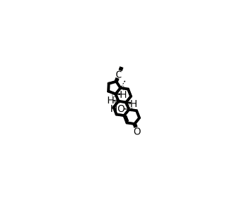 C=C=C1CC[C@H]2[C@@H]3CCC4=CC(=O)CC[C@]4(O)[C@H]3CC[C@]12C